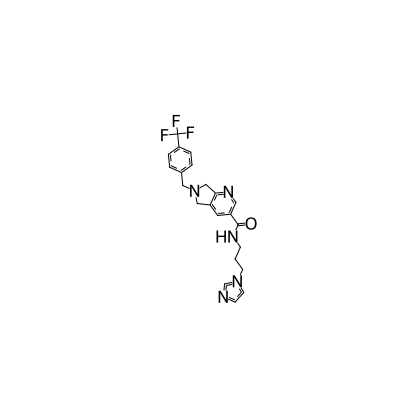 O=C(NCCCn1ccnc1)c1cnc2c(c1)CN(Cc1ccc(C(F)(F)F)cc1)C2